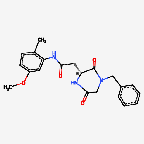 COc1ccc(C)c(NC(=O)C[C@H]2NC(=O)CN(Cc3ccccc3)C2=O)c1